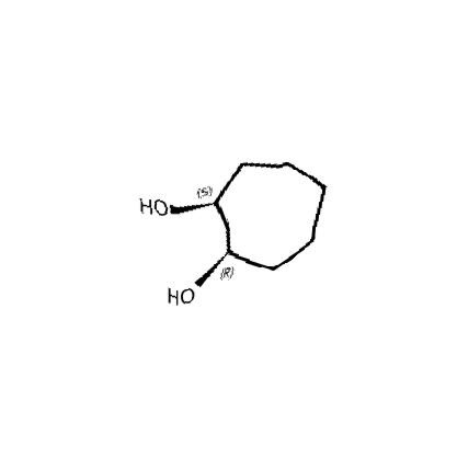 O[C@@H]1CCCCC[C@@H]1O